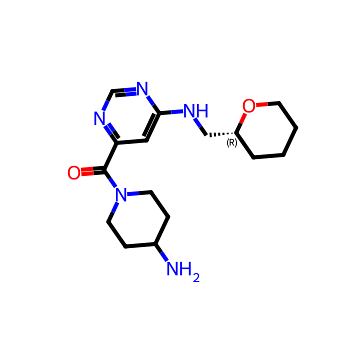 NC1CCN(C(=O)c2cc(NC[C@H]3CCCCO3)ncn2)CC1